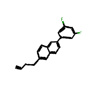 C=CCCc1ccc2cc(-c3cc(F)cc(F)c3)ccc2c1